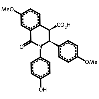 COc1ccc([C@@H]2[C@H](C(=O)O)c3ccc(OC)cc3C(=O)N2c2ccc(O)cc2)cc1